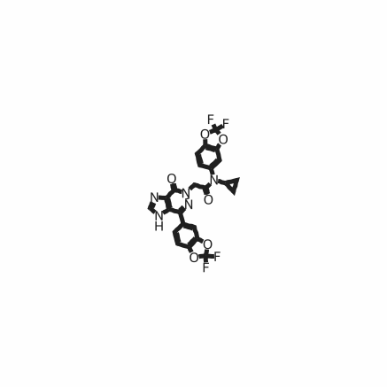 O=C(Cn1nc(-c2ccc3c(c2)OC(F)(F)O3)c2[nH]cnc2c1=O)N(c1ccc2c(c1)OC(F)(F)O2)C1CC1